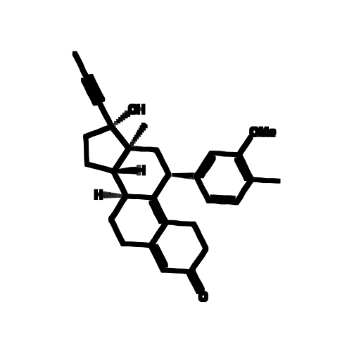 CC#C[C@]1(O)CC[C@H]2[C@@H]3CCC4=CC(=O)CCC4=C3[C@@H](c3ccc(C)c(OC)c3)C[C@@]21C